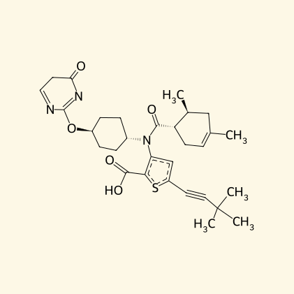 CC1=CC[C@H](C(=O)N(c2cc(C#CC(C)(C)C)sc2C(=O)O)[C@H]2CC[C@H](OC3=NC(=O)CC=N3)CC2)[C@@H](C)C1